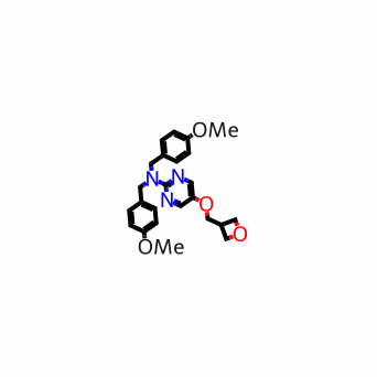 COc1ccc(CN(Cc2ccc(OC)cc2)c2ncc(OCC3COC3)cn2)cc1